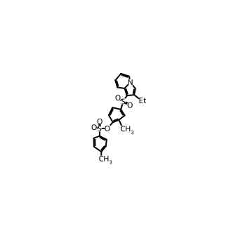 CCc1cn2ccccc2c1S(=O)(=O)c1ccc(OS(=O)(=O)c2ccc(C)cc2)c(C)c1